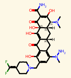 CN(N)c1cc(CN2CCC(=C(F)F)CC2)c(O)c2c1C[C@H]1C[C@H]3[C@H](N(C)C)C(O)=C(C(N)=O)C(=O)[C@@]3(O)C(O)=C1C2=O